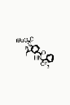 CC(C)COC(=O)n1nc(I)c2cc(C(=O)NC(c3ccccc3)C(F)(F)F)ccc21